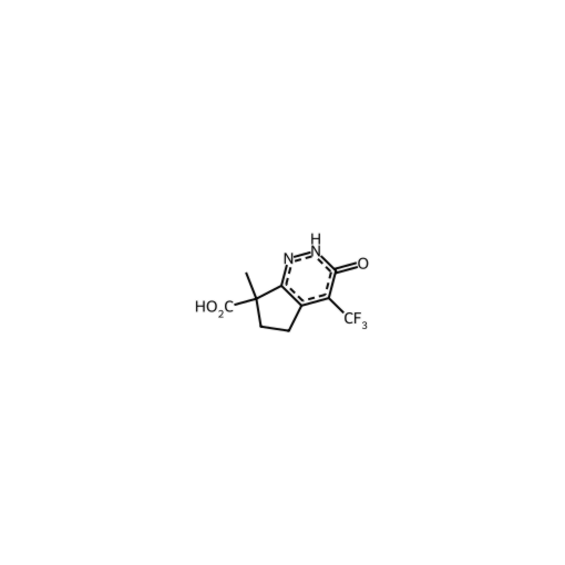 CC1(C(=O)O)CCc2c1n[nH]c(=O)c2C(F)(F)F